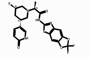 C[C@@H](C(=O)Nc1nc2cc3c(cc2s1)OC(F)(F)O3)N1C[C@H](F)C[C@@H](c2ccc(=O)[nH]c2)C1